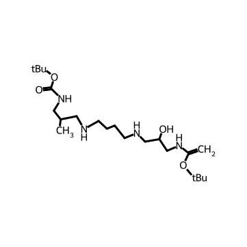 C=C(NCC(O)CNCCCCNCC(C)CNC(=O)OC(C)(C)C)OC(C)(C)C